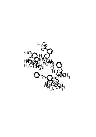 COC(=O)c1cccc(CC(C)(C)NC[C@H](O[Si](C)(C)C(C)(C)C)c2ccc(O)c(CO)c2)c1.COC(=O)c1cccc(CC(C)(C)NC[C@H](O[Si](C)(C)C(C)(C)C)c2ccc(OCc3ccccc3)c(CO)c2)c1